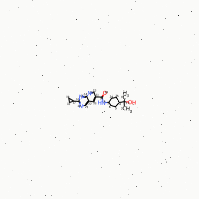 CC(C)(O)C1CCC(NC(=O)c2cnc3nc(C4CC4)ncc3c2)CC1